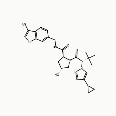 CC(C)(C)[C@@H](C(=O)N1C[C@H](O)C[C@H]1C(=O)NCc1ccc2c(N)noc2c1)n1cc(C2CC2)nn1